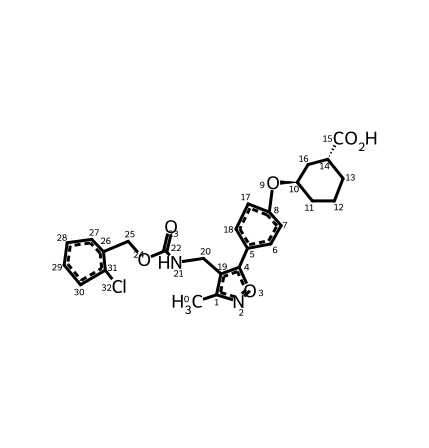 Cc1noc(-c2ccc(O[C@@H]3CCC[C@@H](C(=O)O)C3)cc2)c1CNC(=O)OCc1ccccc1Cl